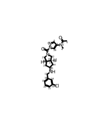 CC(=O)N(C)c1cnn(C(=O)N2C[C@H]3C[C@@H](NCc4cccc(Cl)c4)C[C@H]3C2)c1